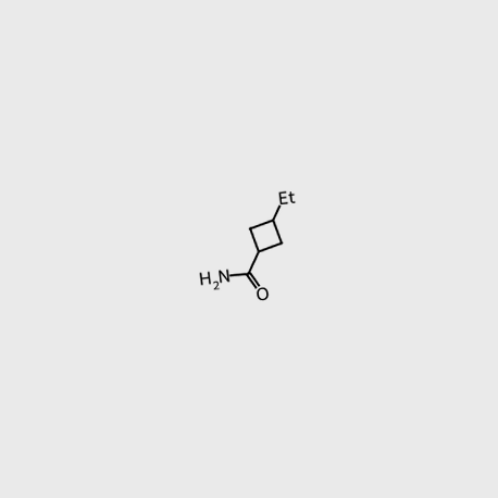 CCC1CC(C(N)=O)C1